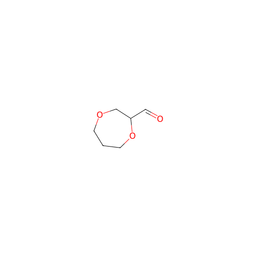 O=CC1COCCCO1